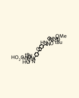 COC(=O)N[C@H](C(=O)N1CCC[C@H]1c1ncc(-c2ccc3oc(-c4ccc(-c5cnc([C@@H]6CCCN6C(=O)[C@@H](NC(=O)O)C(C)(C)C)[nH]5)cc4)cc3c2)[nH]1)C(C)(C)C